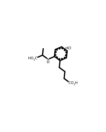 CC(Nc1ccccc1CCCC(=O)O)C(=O)O.Cl